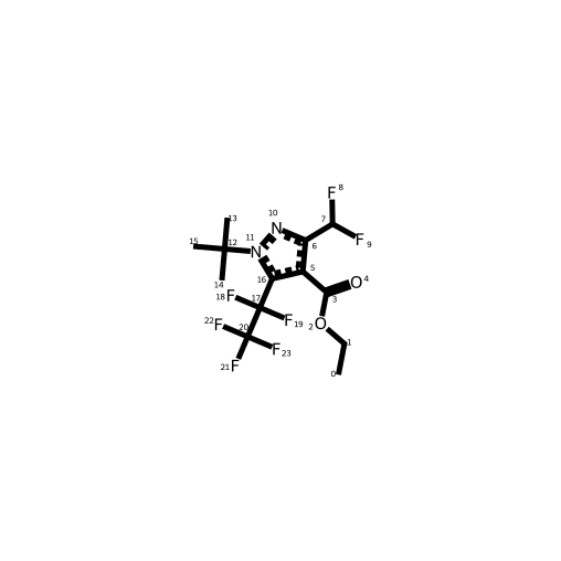 CCOC(=O)c1c(C(F)F)nn(C(C)(C)C)c1C(F)(F)C(F)(F)F